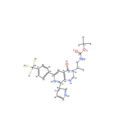 CC(CNC(=O)OC(C)(C)C)n1cnc2c(-c3cccnc3)nc(-c3ccc(C(F)(F)F)cc3)cc2c1=O